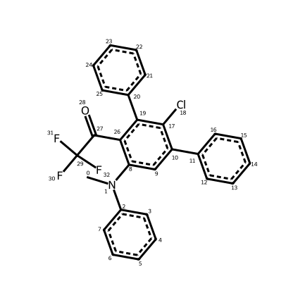 CN(c1ccccc1)c1cc(-c2ccccc2)c(Cl)c(-c2ccccc2)c1C(=O)C(F)(F)F